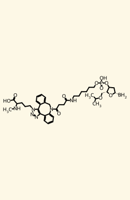 B[C@H]1CC(OP(=O)(O)OCCCCCCNC(=O)CCC(=O)N2Cc3ccccc3-c3c(nnn3CCCC(NC)C(=O)O)-c3ccccc32)[C@@H](COC(C)C)O1